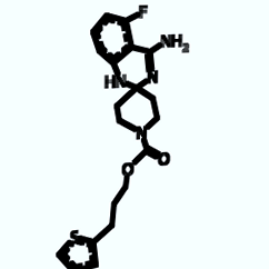 NC1=NC2(CCN(C(=O)OCCCc3cccs3)CC2)Nc2cccc(F)c21